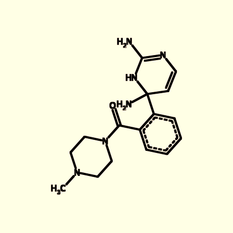 CN1CCN(C(=O)c2ccccc2C2(N)C=CN=C(N)N2)CC1